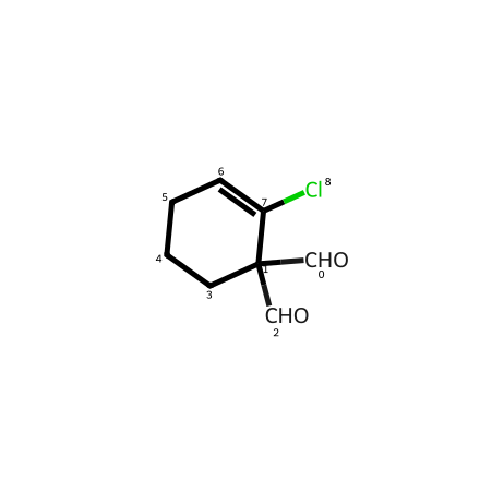 O=CC1(C=O)CCCC=C1Cl